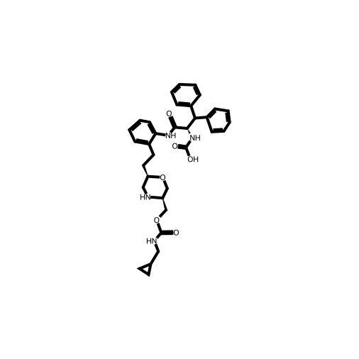 O=C(O)N[C@H](C(=O)Nc1ccccc1CC[C@@H]1CN[C@H](COC(=O)NCC2CC2)CO1)C(c1ccccc1)c1ccccc1